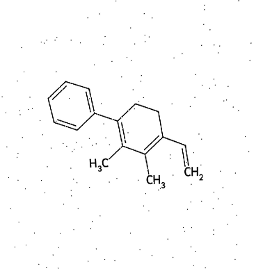 C=CC1=C(C)C(C)=C(c2ccccc2)CC1